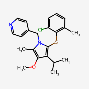 COc1c(C(C)C)c(Sc2c(C)cccc2Cl)n(Cc2ccncc2)c1C